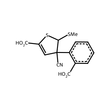 CSC1SC(C(=O)O)=CC1(C#N)c1ccccc1C(=O)O